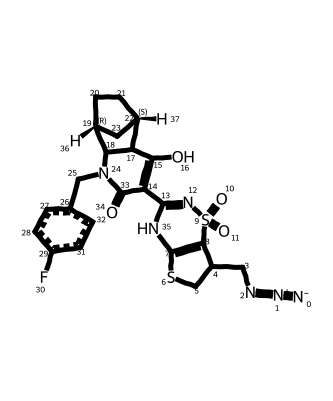 [N-]=[N+]=NCC1CSC2=C1S(=O)(=O)N=C(C1=C(O)C3C([C@@H]4CC[C@H]3C4)N(Cc3ccc(F)cc3)C1=O)N2